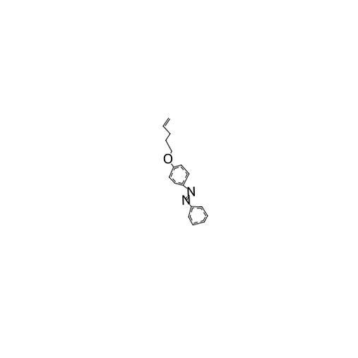 C=CCCCOc1ccc(/N=N/c2ccccc2)cc1